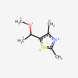 COC(C)c1sc(C)nc1C